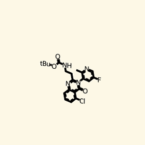 Cc1ncc(F)cc1-n1c(CCNC(=O)OC(C)(C)C)nc2cccc(Cl)c2c1=O